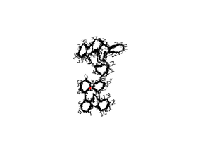 c1ccc(-c2cccc3c4ccccc4n(-c4ccc(-c5ccc(-n6c7ccccc7c7ccc8c9ccccc9sc8c76)cc5)cc4)c23)cc1